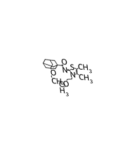 CCOC12CC3CC(C1)CC(C(=O)N=c1sc(C)c(C)n1CCOC)(C3)C2